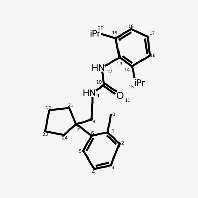 Cc1ccccc1C1(CNC(=O)Nc2c(C(C)C)cccc2C(C)C)CCCC1